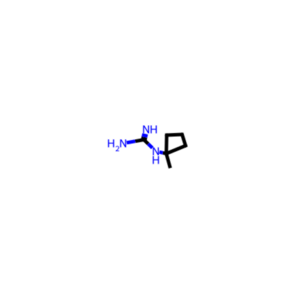 CC1(NC(=N)N)CCC1